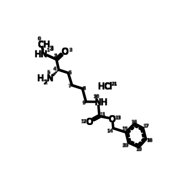 CNC(=O)[C@@H](N)CCCCNC(=O)OCc1ccccc1.Cl